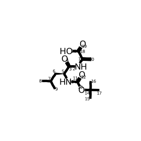 C=C(NC(=O)[C@H](CC(C)C)NC(=O)OC(C)(C)C)C(=O)O